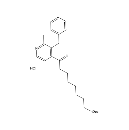 CCCCCCCCCCCCCCCCCC(=O)c1ccnc(C)c1Cc1ccccc1.Cl